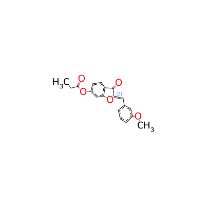 CCC(=O)Oc1ccc2c(c1)O/C(=C\c1cccc(OC)c1)C2=O